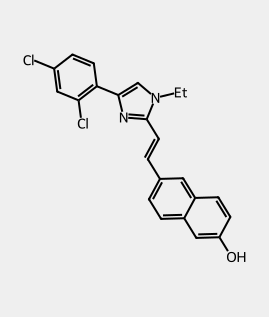 CCn1cc(-c2ccc(Cl)cc2Cl)nc1C=Cc1ccc2cc(O)ccc2c1